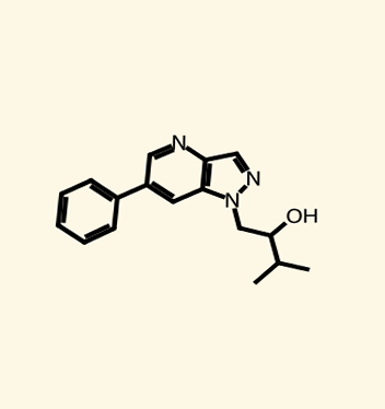 CC(C)C(O)Cn1ncc2ncc(-c3ccccc3)cc21